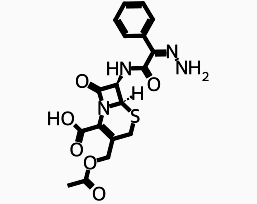 CC(=O)OCC1=C(C(=O)O)N2C(=O)[C@@H](NC(=O)/C(=N\N)c3ccccc3)[C@H]2SC1